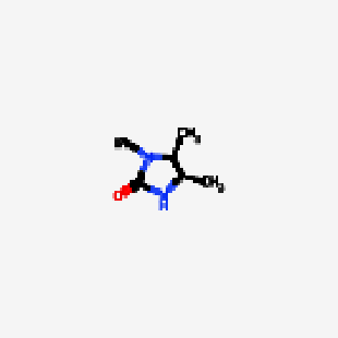 CC(C)N1C(=O)N[C@H](C)[C@@H]1C